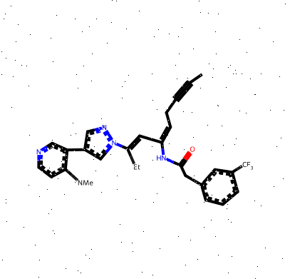 CC#CC/C=C(\C=C(/CC)n1cc(-c2cnccc2NC)cn1)NC(=O)Cc1cccc(C(F)(F)F)c1